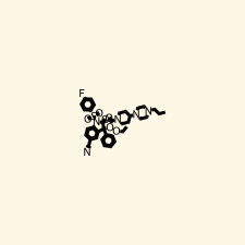 CCCN1CCN(C2CCN(C(=O)OC3(c4ccccc4OCC)C(=O)N(S(=O)(=O)c4ccc(F)cc4)c4ccc(C#N)cc43)CC2)CC1